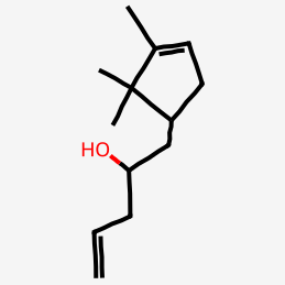 C=CCC(O)CC1CC=C(C)C1(C)C